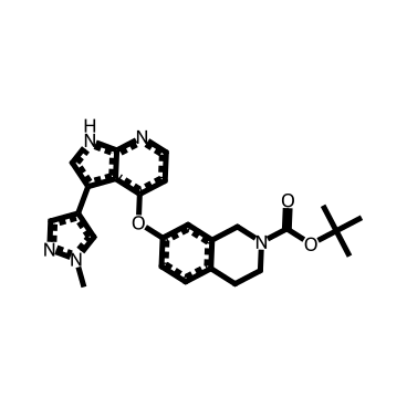 Cn1cc(-c2c[nH]c3nccc(Oc4ccc5c(c4)CN(C(=O)OC(C)(C)C)CC5)c23)cn1